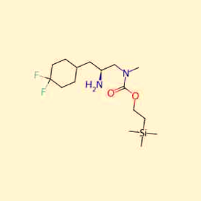 CN(C[C@@H](N)CC1CCC(F)(F)CC1)C(=O)OCC[Si](C)(C)C